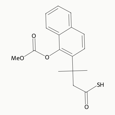 COC(=O)Oc1c(C(C)(C)CC(=O)S)ccc2ccccc12